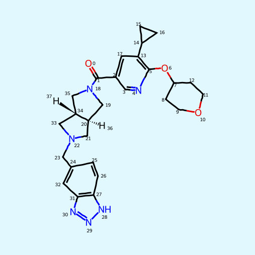 O=C(c1cnc(OC2CCOCC2)c(C2CC2)c1)N1C[C@H]2CN(Cc3ccc4[nH]nnc4c3)C[C@@H]2C1